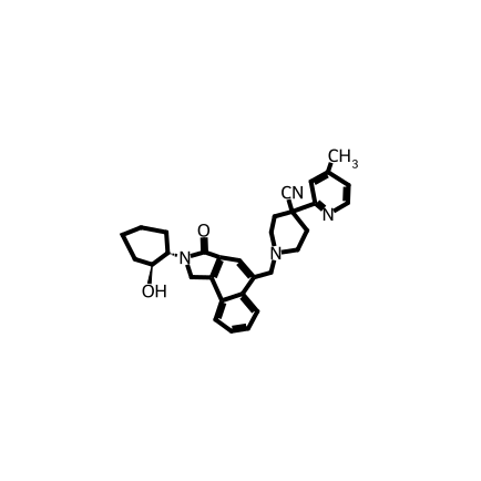 Cc1ccnc(C2(C#N)CCN(Cc3cc4c(c5ccccc35)CN([C@H]3CCCC[C@@H]3O)C4=O)CC2)c1